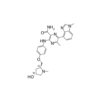 Cc1nc(Nc2ccc(OC[C@@H]3C[C@@H](O)CN3C)cc2)c(C(N)=O)nc1-c1cccc2c1ncn2C